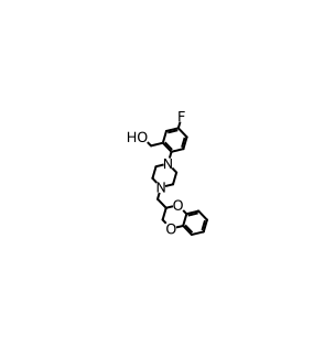 OCc1cc(F)ccc1N1CCN(CC2COc3ccccc3O2)CC1